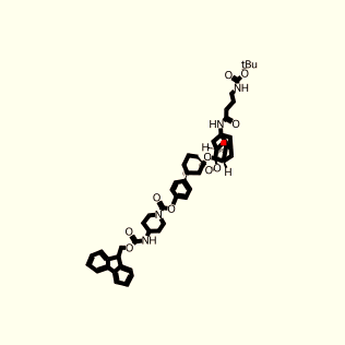 CC(C)(C)OC(=O)NCCCC(=O)NC12CC3C[C@H](C1)[C@]1(OO[C@@]4(CCC[C@@H](c5ccc(OC(=O)N6CCC(NC(=O)OCC7c8ccccc8-c8ccccc87)CC6)cc5)C4)O1)[C@@H](C3)C2